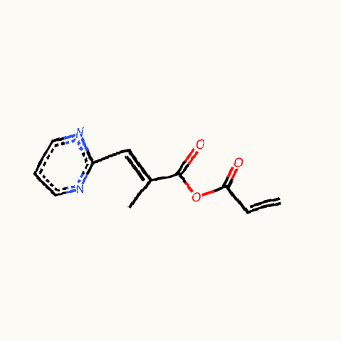 C=CC(=O)OC(=O)/C(C)=C/c1ncccn1